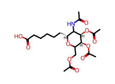 CC(=O)NC1[C@@H](OC(C)=O)[C@@H](OC(C)=O)C(COC(C)=O)O[C@@H]1CCCCCC(=O)O